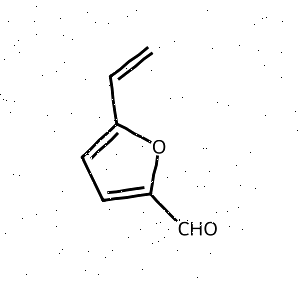 C=Cc1ccc(C=O)o1